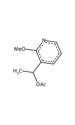 COc1ncccc1C(C)OC(C)=O